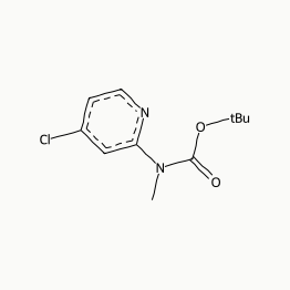 CN(C(=O)OC(C)(C)C)c1cc(Cl)ccn1